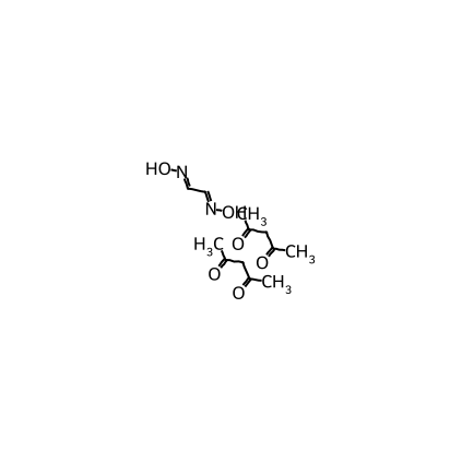 CC(=O)CC(C)=O.CC(=O)CC(C)=O.ON=CC=NO